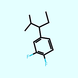 CCC(c1ccc(F)c(F)c1)C(C)C